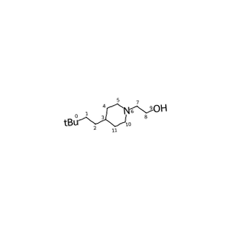 CC(C)(C)CCC1CCN(CCO)CC1